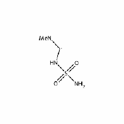 CN[CH]NS(N)(=O)=O